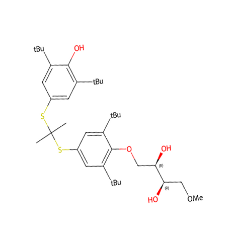 COC[C@@H](O)[C@H](O)COc1c(C(C)(C)C)cc(SC(C)(C)Sc2cc(C(C)(C)C)c(O)c(C(C)(C)C)c2)cc1C(C)(C)C